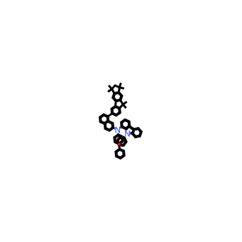 CC1(C)CC(C)(C)c2cc3c(cc21)-c1cc(-c2cccc4ccc(N(c5ccc(-c6ccccc6)cc5)c5cccc6c7ccccc7n(-c7ccccc7)c56)cc24)ccc1C3(C)C